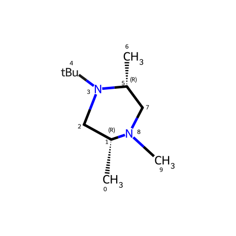 C[C@@H]1CN(C(C)(C)C)[C@H](C)CN1C